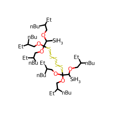 CCCCC(CC)COC([SiH3])C(OCC(CC)CCCC)(OCC(CC)CCCC)SSSSSC(OCC(CC)CCCC)(OCC(CC)CCCC)C([SiH3])OCC(CC)CCCC